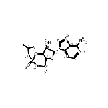 CC(C)OP1(=O)OC2C(O[C@@H](n3cnc4c(N)ncnc43)[C@@H]2O)[C@H](C)O1